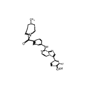 COc1ccc(-c2cnc3c(Nc4ccc(C(=O)N5CCN(C)CC5)cc4)nccn23)cc1Cl